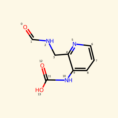 O=CNCc1ncccc1NC(=O)O